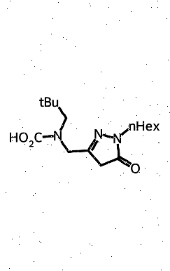 CCCCCCN1N=C(CN(CC(C)(C)C)C(=O)O)CC1=O